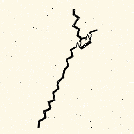 CCCCCCCCCCCCCCCCN1C=CN(CC)C1CCCCCC